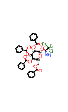 N=C(O[C@@H]1O[C@H](COC(=O)c2ccccc2)[C@@H](OC(=O)c2ccccc2)[C@H](OC(=O)c2ccccc2)[C@@H]1OC(=O)c1ccccc1)C(Cl)(Cl)Cl